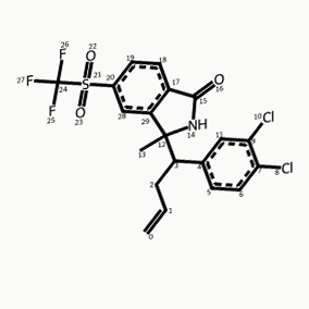 C=CCC(c1ccc(Cl)c(Cl)c1)C1(C)NC(=O)c2ccc(S(=O)(=O)C(F)(F)F)cc21